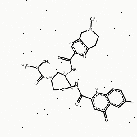 CN1CCc2nc(C(=O)N[C@H]3C[C@@H](C(=O)N(C)C)CC[C@@H]3NC(=O)c3cc(=O)c4cc(F)ccc4[nH]3)sc2C1